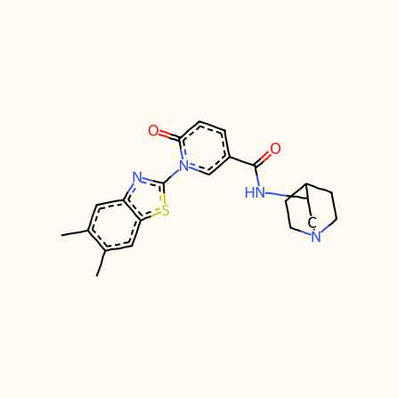 Cc1cc2nc(-n3cc(C(=O)NC4CN5CCC4CC5)ccc3=O)sc2cc1C